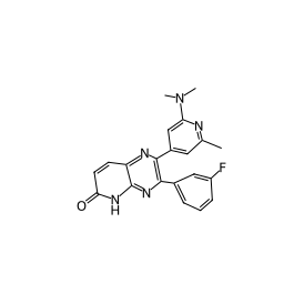 Cc1cc(-c2nc3ccc(=O)[nH]c3nc2-c2cccc(F)c2)cc(N(C)C)n1